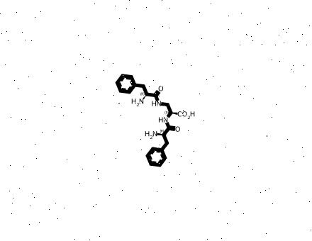 N[C@H](Cc1ccccc1)C(=O)NC[C@H](NC(=O)[C@H](N)Cc1ccccc1)C(=O)O